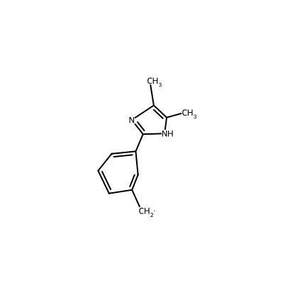 [CH2]c1cccc(-c2nc(C)c(C)[nH]2)c1